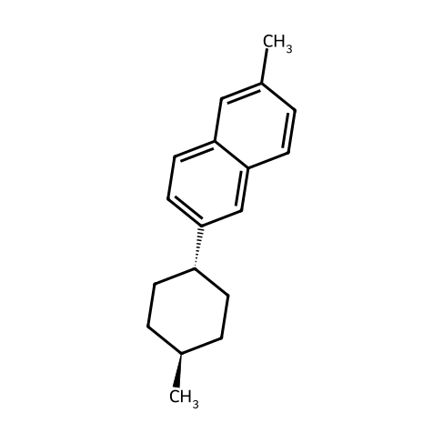 Cc1ccc2cc([C@H]3CC[C@H](C)CC3)ccc2c1